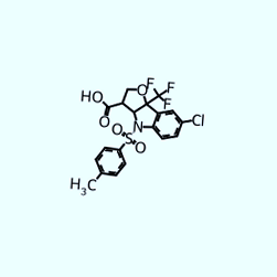 Cc1ccc(S(=O)(=O)N2c3ccc(Cl)cc3C3(C(F)(F)F)OCC(C(=O)O)C23)cc1